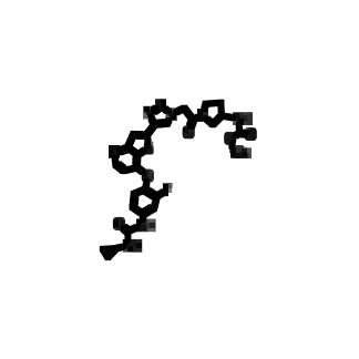 CC(C)(C)OC(=O)NC1CCN(C(=O)Cn2cc(-c3cc4nccc(Oc5ccc(NC(=O)NC6CC6)cc5F)c4s3)nn2)C1